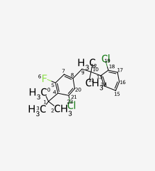 CC(C)(C)c1c(F)cc(CC(C)(C)c2ccccc2Cl)cc1Cl